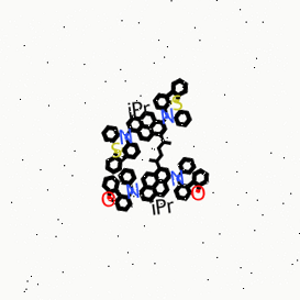 CC(C)c1cc(N(c2ccccc2)c2cccc3c2sc2ccccc23)c2ccc3c(C(C)CCC(C)c4cc(N(c5ccccc5)c5cccc6oc7ccccc7c56)c5ccc6c(C(C)C)cc(N(c7ccccc7)c7cccc8oc9ccccc9c78)c7ccc4c5c67)cc(N(c4ccccc4)c4cccc5c4sc4ccccc45)c4ccc1c2c34